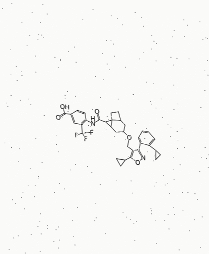 O=C(O)c1ccc(NC(=O)C2C3CC(OCc4c(-c5ccccc5C5CC5)noc4C4CC4)CC4CCC432)c(C(F)(F)F)c1